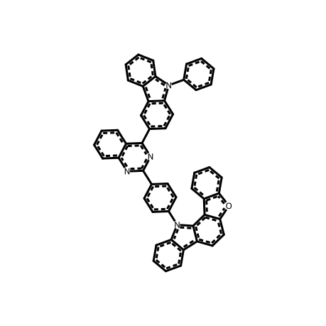 c1ccc(-n2c3ccccc3c3cc(-c4nc(-c5ccc(-n6c7ccccc7c7ccc8oc9ccccc9c8c76)cc5)nc5ccccc45)ccc32)cc1